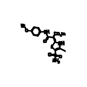 CCOC(=O)/C(C(=O)Nc1ccc(OCC)cc1)=C1\NC(C)=C(S(N)(=O)=O)S1